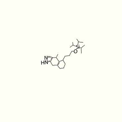 CC1C2=C(CCCC2CCCO[Si](C(C)C)(C(C)C)C(C)C)Cc2[nH]ncc21